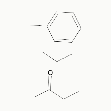 CCC.CCC(C)=O.Cc1ccccc1